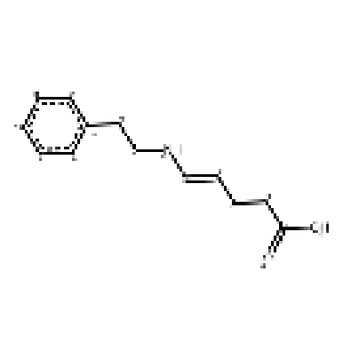 O=C(O)CCC=CNCCc1ccccc1